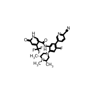 C[C@@H]1CN(c2cc(F)c(-c3ccc(C#N)nc3)cc2NC(=O)c2c[nH]c(=O)cc2C(F)(F)F)C[C@H](C)N1C